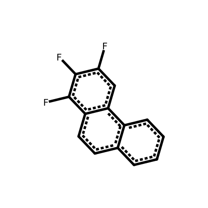 Fc1cc2c(ccc3ccccc32)c(F)c1F